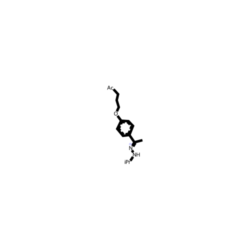 CC(=O)CCCOc1ccc(/C(C)=N/NC(C)C)cc1